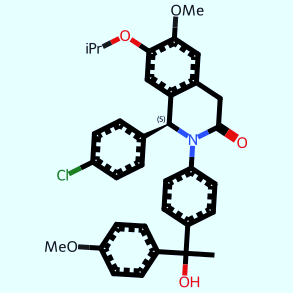 COc1ccc(C(C)(O)c2ccc(N3C(=O)Cc4cc(OC)c(OC(C)C)cc4[C@@H]3c3ccc(Cl)cc3)cc2)cc1